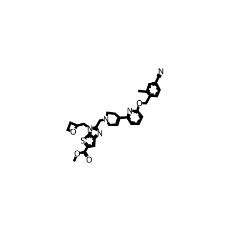 COC(=O)c1cc2nc(CN3CC=C(c4cccc(OCc5ccc(C#N)cc5C)n4)CC3)n(CC3CCO3)c2s1